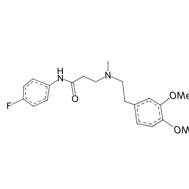 COc1ccc(CCN(C)CCC(=O)Nc2ccc(F)cc2)cc1OC